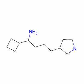 NC(CCCC1CC[N]C1)C1CCC1